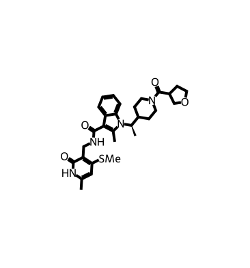 CSc1cc(C)[nH]c(=O)c1CNC(=O)c1c(C)n([C@H](C)C2CCN(C(=O)C3CCOC3)CC2)c2ccccc12